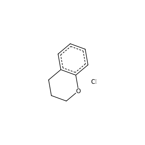 [C].c1ccc2c(c1)CCCO2